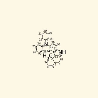 CC12C=CC=CC1CCc1[nH]c3c(c12)CC(N(c1ccccc1)c1ccccc1)C=C3